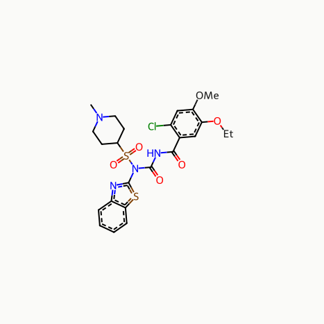 CCOc1cc(C(=O)NC(=O)N(c2nc3ccccc3s2)S(=O)(=O)C2CCN(C)CC2)c(Cl)cc1OC